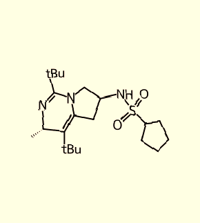 C[C@@H]1N=C(C(C)(C)C)N2CC(NS(=O)(=O)C3CCCC3)CC2=C1C(C)(C)C